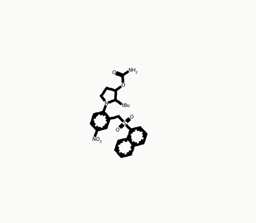 CC(C)(C)C1C(OC(N)=O)CCN1c1ccc([N+](=O)[O-])cc1CS(=O)(=O)c1cccc2ccccc12